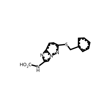 O=C(O)Nc1cn2nc(SCc3ccccc3)ccc2n1